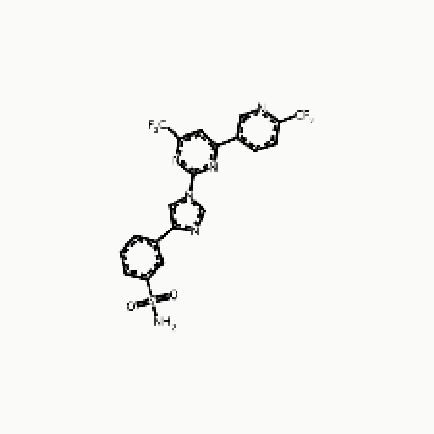 NS(=O)(=O)c1cccc(-c2cn(-c3nc(-c4ccc(C(F)(F)F)nc4)cc(C(F)(F)F)n3)cn2)c1